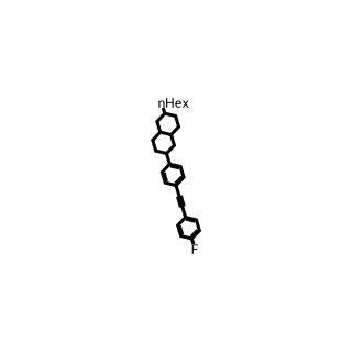 CCCCCCC1CCC2CC(c3ccc(C#Cc4ccc(F)cc4)cc3)CCC2C1